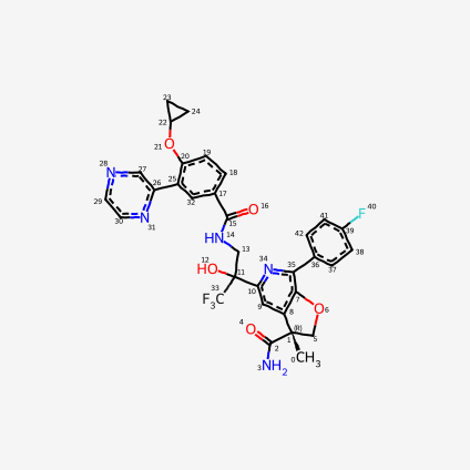 C[C@]1(C(N)=O)COc2c1cc(C(O)(CNC(=O)c1ccc(OC3CC3)c(-c3cnccn3)c1)C(F)(F)F)nc2-c1ccc(F)cc1